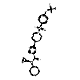 O=C(c1csc(C2CCN(S(=O)(=O)c3ccc(OC(F)(F)F)cc3)CC2)n1)N(C1CCCCC1)C1CC1